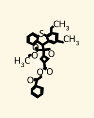 CCOC(=O)C(C=O)(C1CC(C(=O)OCC(=O)c2ccccc2)C1)C1c2ccccc2Sc2c(CC)cc(CC)cc21